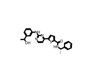 CC(O)c1cccc(Nc2nccc(-c3ccc(C(=O)N[C@@H](C)c4ccccc4)s3)n2)c1